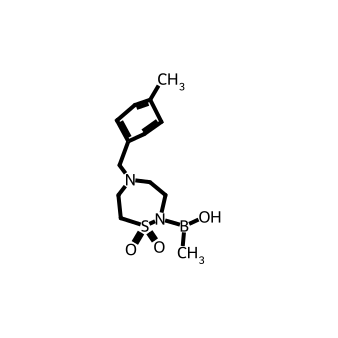 CB(O)N1CCN(Cc2ccc(C)cc2)CCS1(=O)=O